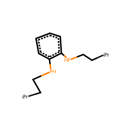 CC(C)CCPc1ccccc1PCCC(C)C